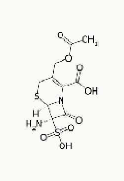 CC(=O)OCC1=C(C(=O)O)N2C(=O)[C@@](N)(S(=O)(=O)O)[C@H]2SC1